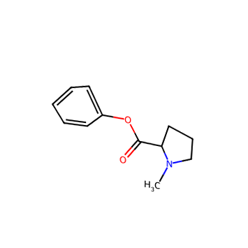 CN1CCCC1C(=O)Oc1ccccc1